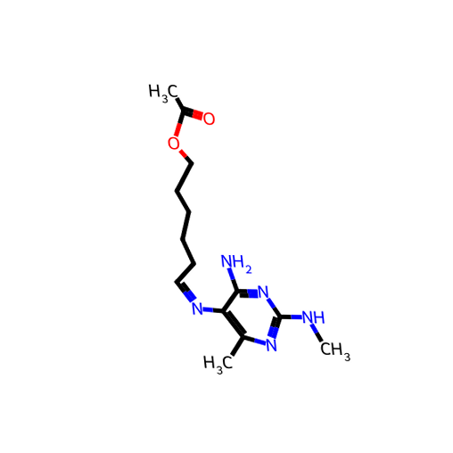 CNc1nc(C)c(/N=C\CCCCCOC(C)=O)c(N)n1